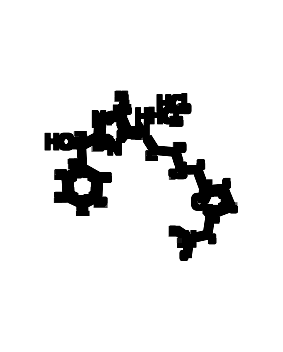 CN(C)Cc1ccc(CSCCNc2nc(C(O)c3ccccc3)nn2C)o1.Cl.Cl